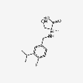 CC(C)c1cc(CN[C@@](C)(CO)C(=O)O)ccc1F